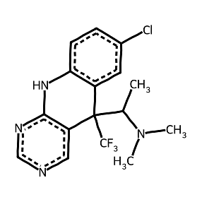 CC(N(C)C)C1(C(F)(F)F)c2cc(Cl)ccc2Nc2ncncc21